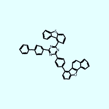 c1ccc(-c2ccc(-c3nc(-c4ccc(-c5cccc6oc7c8ccccc8ccc7c56)cc4)nc(-c4cccc5sc6ccccc6c45)n3)cc2)cc1